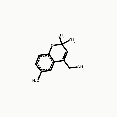 Cc1ccc2c(c1)C(CN)=CC(C)(C)O2